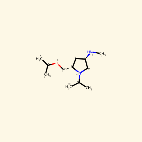 CN[C@@H]1C[C@@H](COC(C)C)N(C(C)C)C1